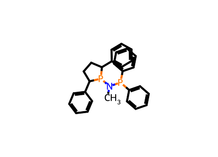 CN(P(c1ccccc1)c1ccccc1)P1C(c2ccccc2)CCC1c1ccccc1